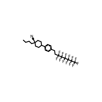 CCCCC1(C#N)CCC(c2ccc(CCC(F)(F)C(F)(F)C(F)(F)C(F)(F)C(F)(F)C(F)(F)F)cc2)CC1